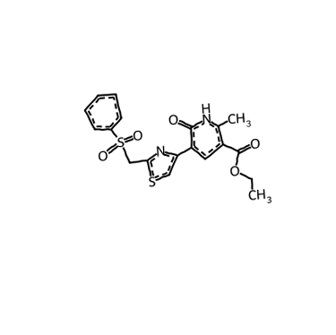 CCOC(=O)c1cc(-c2csc(CS(=O)(=O)c3ccccc3)n2)c(=O)[nH]c1C